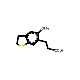 COc1cc2c(cc1CCC(=O)O)SCC2